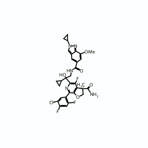 COc1cc(C(=O)NCC(O)(c2nc(-c3cc(Cl)c(F)cc3F)c3c(c2F)[C@@](C)(C(N)=O)CO3)C2CC2)cc2cn(C3CC3)nc12